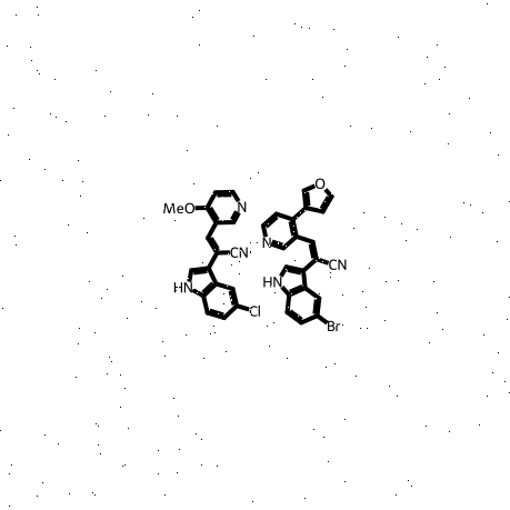 COc1ccncc1/C=C(\C#N)c1c[nH]c2ccc(Cl)cc12.N#C/C(=C/c1cnccc1-c1ccoc1)c1c[nH]c2ccc(Br)cc12